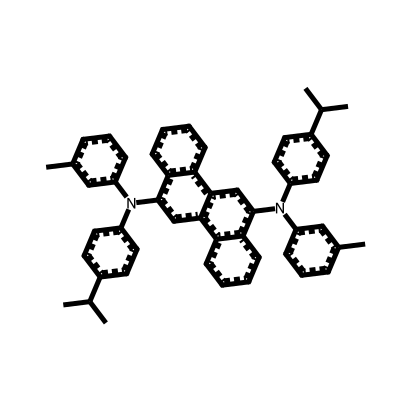 Cc1cccc(N(c2ccc(C(C)C)cc2)c2cc3c4ccccc4c(N(c4ccc(C(C)C)cc4)c4cccc(C)c4)cc3c3ccccc23)c1